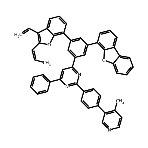 C=Cc1c(/C=C\C)oc2c(-c3cc(-c4cc(-c5ccccc5)nc(-c5ccc(-c6cnccc6C)cc5)n4)cc(-c4cccc5c4oc4ccccc45)c3)cccc12